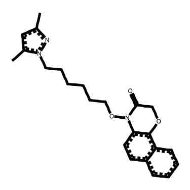 Cc1cc(C)n(CCCCCCON2C(=O)COc3c2ccc2ccccc32)n1